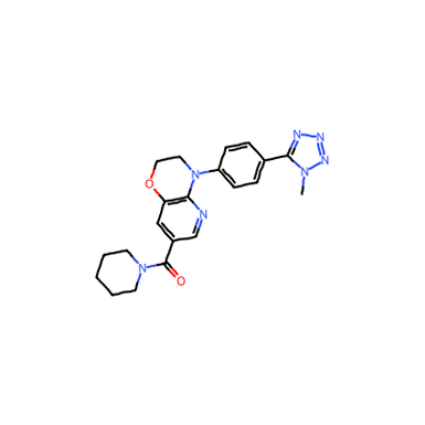 Cn1nnnc1-c1ccc(N2CCOc3cc(C(=O)N4CCCCC4)cnc32)cc1